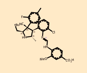 COc1cc(C(=O)O)ccc1N/C=P/c1c(Cl)cccc1[C@H]1[C@H](C)N[C@@H](CC(C)(C)C)[C@]1(C#N)c1ccc(C)cc1F